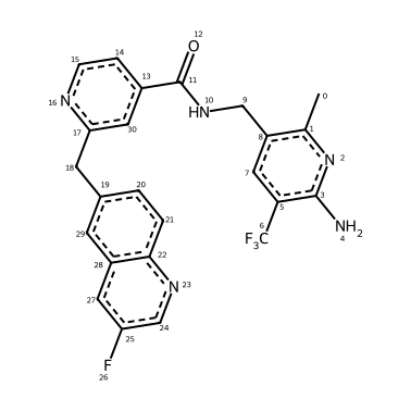 Cc1nc(N)c(C(F)(F)F)cc1CNC(=O)c1ccnc(Cc2ccc3ncc(F)cc3c2)c1